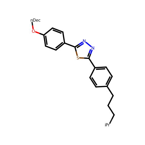 CCCCCCCCCCOc1ccc(-c2nnc(-c3ccc(CCCC(C)C)cc3)s2)cc1